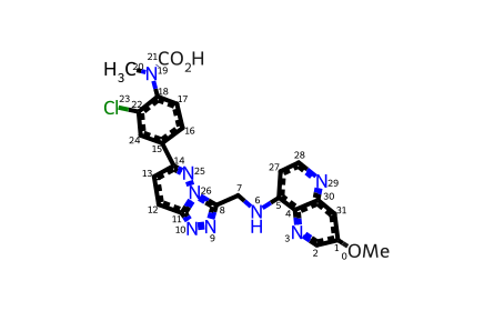 COc1cnc2c(NCc3nnc4ccc(-c5ccc(N(C)C(=O)O)c(Cl)c5)nn34)ccnc2c1